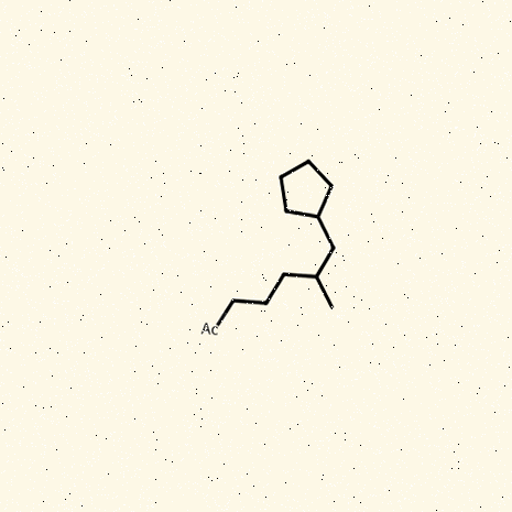 CC(=O)CCCC(C)CC1CCCC1